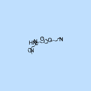 C=N/C=C\C=C/CCOc1ccc(/C=C/c2cc(/C=C/c3cccc(C)n3)[nH]n2)c(OC)c1